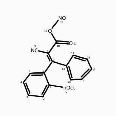 CCCCCCCCc1ccccc1/C(=C(\C#N)C(=O)ON=O)c1ccccc1